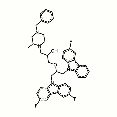 CC1CN(Cc2ccccc2)CCN1CC(O)COC(Cn1c2ccccc2c2cc(F)ccc21)Cn1c2ccc(F)cc2c2cc(F)ccc21